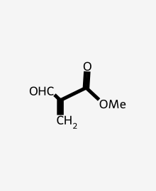 C=C(C=O)C(=O)OC